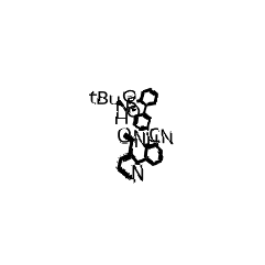 CC(C)(C)NS(=O)(=O)c1ccccc1-c1ccc(NC(=O)c2cccnc2-c2cccc(C#N)c2)cc1